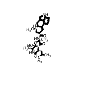 CC(C)C[C@H]1C(=O)N[C@@H](C)[C@]2(O)O[C@@](C)(NC(=O)[C@@H]3C=C4c5cccc6[nH]cc(c56)C[C@H]4N(C)C3)C(=O)N12